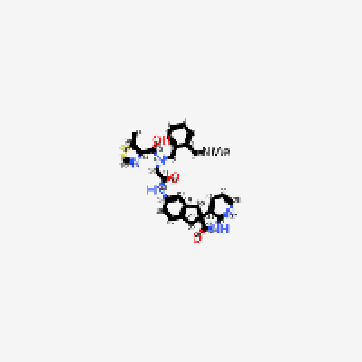 CNCc1ccccc1CN(CC(=O)Nc1ccc2c(c1)CC1(C2)C(=O)Nc2ncccc21)C(O)c1ncsc1C